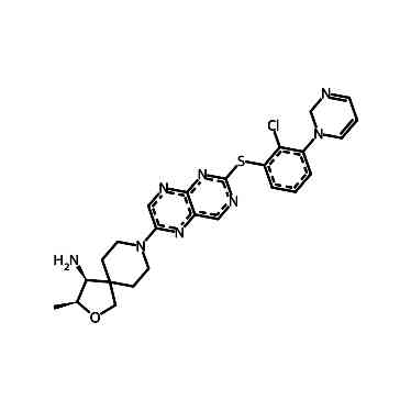 C[C@@H]1OCC2(CCN(c3cnc4nc(Sc5cccc(N6C=CC=NC6)c5Cl)ncc4n3)CC2)[C@@H]1N